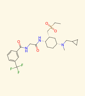 CCS(=O)(=O)C[C@@H]1C[C@H](N(C)CC2CC2)CC[C@@H]1NC(=O)CNC(=O)c1cccc(C(F)(F)F)c1